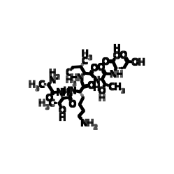 CC[C@H](C)[C@H](NC(=O)[C@H](CCCCN)NC(=O)[C@@H](NC(=O)[C@H](C)N)[C@@H](C)O)C(=O)N[C@H](C(=O)N[C@@H](CC(=O)O)C(=O)O)[C@@H](C)O